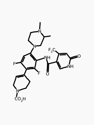 CC1CN(c2cc(F)c(C3=CCN(C(=O)O)CC3)c(F)c2NC(=O)c2c[nH]c(=O)cc2C(F)(F)F)CCN1C